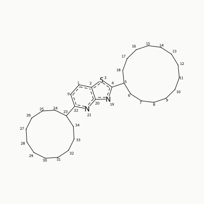 c1cc2sc(C3CCCCCCCCCCCCC3)nc2nc1C1CCCCCCCCCCC1